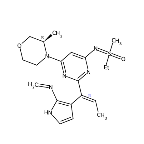 C=Nc1[nH]ccc1/C(=C\C)c1nc(N=S(C)(=O)CC)cc(N2CCOC[C@H]2C)n1